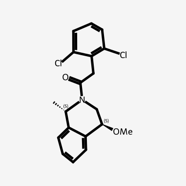 CO[C@@H]1CN(C(=O)Cc2c(Cl)cccc2Cl)[C@@H](C)c2ccccc21